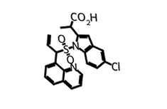 C=CC(c1cccc2cccnc12)S(=O)(=O)n1c(C(C)C(=O)O)cc2cc(Cl)ccc21